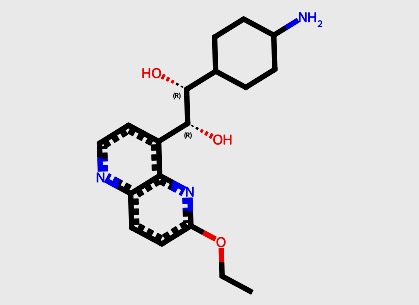 CCOc1ccc2nccc([C@@H](O)[C@H](O)C3CCC(N)CC3)c2n1